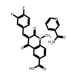 CN1C(=O)/C(=C\c2ccc(F)c(F)c2)C(=O)c2cc(C(=O)O)ccc21.NC(=O)c1cccnc1